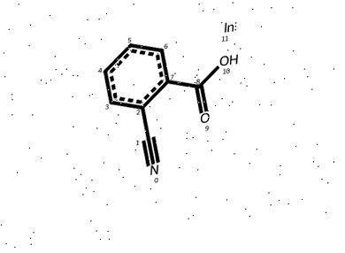 N#Cc1ccccc1C(=O)O.[In]